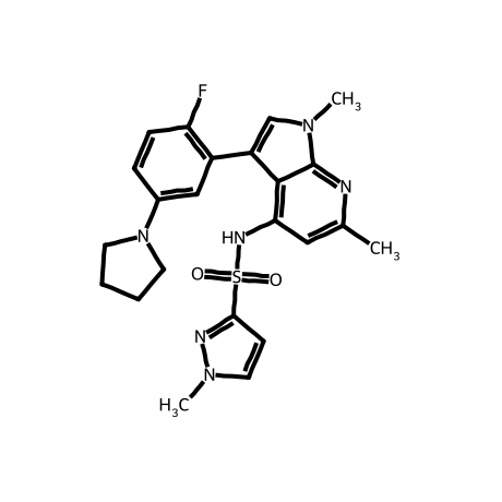 Cc1cc(NS(=O)(=O)c2ccn(C)n2)c2c(-c3cc(N4CCCC4)ccc3F)cn(C)c2n1